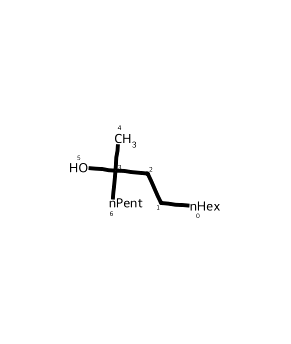 CCCCCCCCC(C)(O)CCCCC